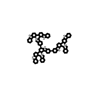 c1ccc2c(c1)cn1c3cc4c(cc3c3ccc5c6cc(-c7ccc8c(c7)sc7c(-c9ccc%10c(c9)cn9c%11c(ccc%12sc%13ccccc%13c%12%11)c%11ccc%12c%13ccccc%13sc%12c%11c%109)cc9c%10ccc%11sc%12ccccc%12c%11c%10c%10c%11ccccc%11cn%10c9c78)ccc6sc5c3c21)sc1ccccc14